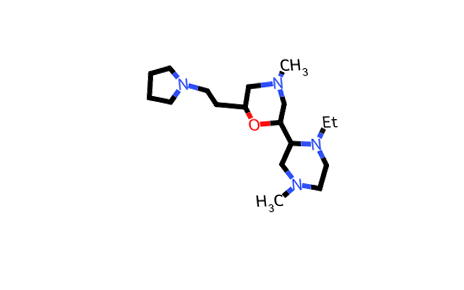 CCN1CCN(C)CC1C1CN(C)CC(CCN2CCCC2)O1